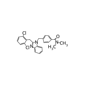 CN(C)C(=O)c1ccc(Cn2c(Cc3c(Cl)cccc3Cl)nc3ccccc32)cc1